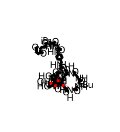 CC[C@H](C)[C@@H]1NC(=O)CNC(=O)[C@@H]2Cc3c([nH]c4cc(O)ccc34)[S@+]([O-])CC(NC(=O)CNC1=O)C(=O)N[C@@H](CC(=O)NCc1ccc(NC(=O)[C@H](C)NC(=O)C(NC(=O)CCN3C(=O)C=CC3=O)C(C)C)cc1)C(=O)N1C[C@H](O)CC1(C=O)N[C@@H]([C@@H](C)[C@@H](O)CO)C(=O)N2